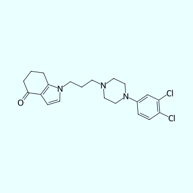 O=C1CCCc2c1ccn2CCCN1CCN(c2ccc(Cl)c(Cl)c2)CC1